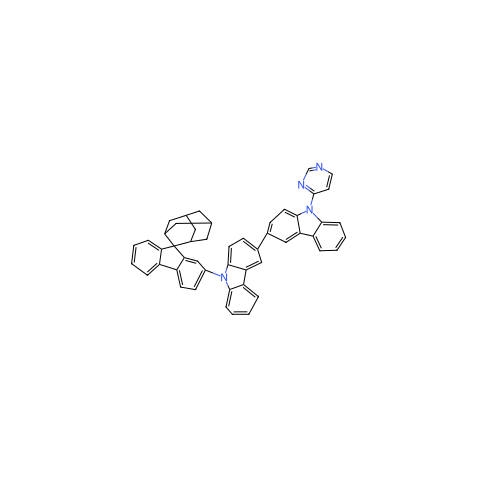 c1ccc2c(c1)-c1ccc(-n3c4ccccc4c4cc(-c5ccc6c(c5)c5ccccc5n6-c5ccncn5)ccc43)cc1C21C2CC3CC(C2)CC1C3